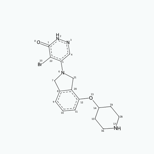 O=c1[nH]ncc(N2Cc3cccc(OC4CCNCC4)c3C2)c1Br